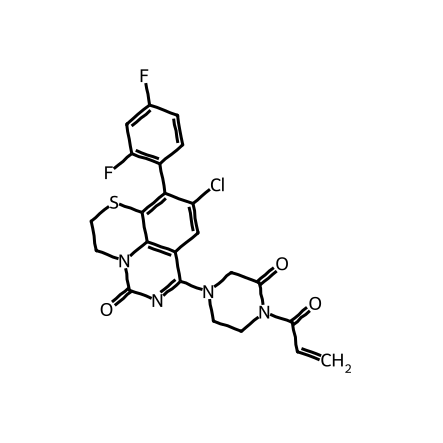 C=CC(=O)N1CCN(c2nc(=O)n3c4c(c(-c5ccc(F)cc5F)c(Cl)cc24)SCC3)CC1=O